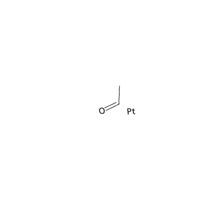 CC=O.[Pt]